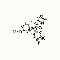 COc1ccc(CN(c2cscn2)S(=O)(=O)c2ccc(F)c(Cl)c2)cc1